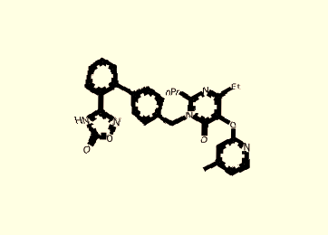 CCCc1nc(CC)c(Oc2cc(C)ccn2)c(=O)n1Cc1ccc(-c2ccccc2-c2noc(=O)[nH]2)cc1